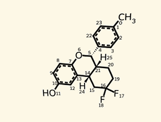 Cc1ccc([C@H]2Oc3ccc(O)cc3[C@H]3CC(F)(F)CC[C@H]32)cc1